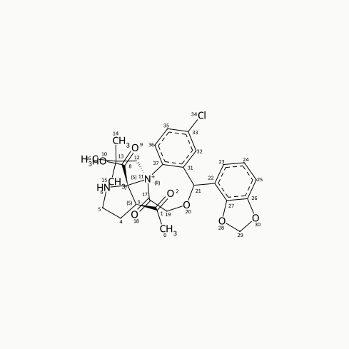 CC(=O)[C@H]1CCN[C@]1(C(=O)O)[N@+]1(CC(C)(C)C)C(=O)COC(c2cccc3c2OCO3)c2cc(Cl)ccc21